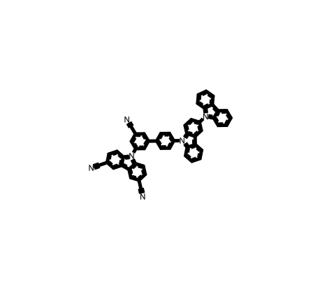 N#Cc1cc(-c2ccc(-n3c4ccccc4c4cc(-n5c6ccccc6c6ccccc65)ccc43)cc2)cc(-n2c3ccc(C#N)cc3c3cc(C#N)ccc32)c1